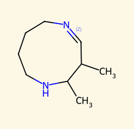 CC1/C=N\CCCCNC1C